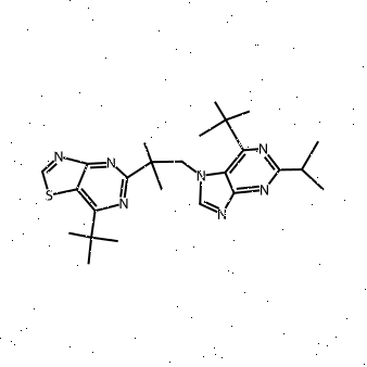 CC(C)c1nc(C(C)(C)C)c2c(ncn2CC(C)(C)c2nc(C(C)(C)C)c3scnc3n2)n1